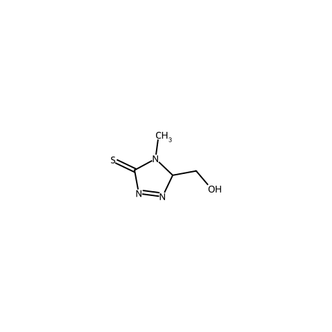 CN1C(=S)N=NC1CO